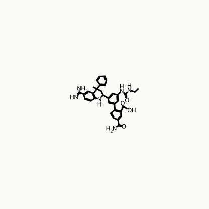 CCNC(=O)Nc1cc(-c2ccc(C(N)=O)cc2C(=O)O)cc(C2CC(C)(c3ccccc3)c3cc(C(=N)N)ccc3N2)c1